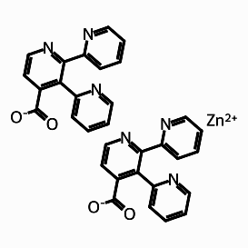 O=C([O-])c1ccnc(-c2ccccn2)c1-c1ccccn1.O=C([O-])c1ccnc(-c2ccccn2)c1-c1ccccn1.[Zn+2]